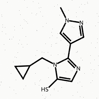 Cn1cc(-c2ncc(S)n2CC2CC2)cn1